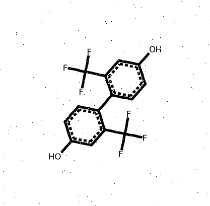 Oc1ccc(-c2ccc(O)cc2C(F)(F)F)c(C(F)(F)F)c1